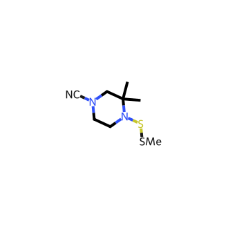 CSSN1CCN(C#N)CC1(C)C